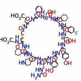 CN1C(=O)CSC[C@@H](C(=O)NCC(=O)O)NC(=O)[C@H](CC2CCCCC2)NC(=O)[C@H](CC2CCNCC2)NC(=O)[C@H](CCCNC(N)=O)NC(=O)[C@H](Cc2ccc(O)cc2)NC(=O)[C@H](Cc2ccc(O)cc2)NC(=O)[C@H](CO)NC(=O)[C@H](Cc2ccc(F)cc2)NC(=O)[C@H](CC2CCCCC2)NC(=O)[C@H](CO)NC(=O)[C@H](Cc2ccccc2)N(C)C(=O)[C@@H]1CCC(=O)O